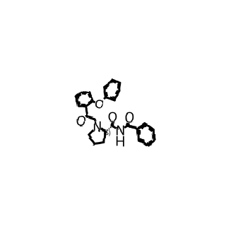 O=C(NC(=O)[C@@H]1CCCN1CC(=O)c1ccccc1Oc1ccccc1)c1ccccc1